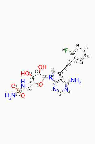 Nc1ncnc2c1c(C#Cc1ccccc1F)cn2[C@@H]1O[C@H](CNS(N)(=O)=O)[C@@H](O)[C@H]1O